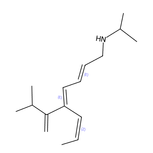 C=C(C(/C=C\C)=C/C=C/CNC(C)C)C(C)C